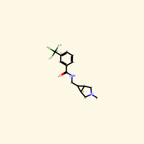 CN1CC2C(CNC(=O)c3cccc(C(F)(F)F)c3)C2C1